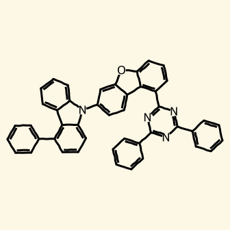 c1ccc(-c2nc(-c3ccccc3)nc(-c3cccc4oc5cc(-n6c7ccccc7c7c(-c8ccccc8)cccc76)ccc5c34)n2)cc1